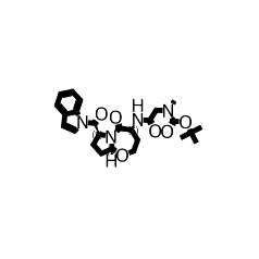 CN(CC(=O)N[C@H]1CCO[C@H]2CC[C@@H](C(=O)n3ccc4ccccc43)N2C1=O)C(=O)OC(C)(C)C